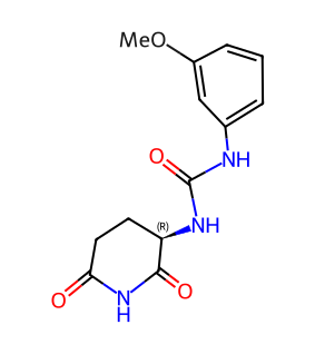 COc1cccc(NC(=O)N[C@@H]2CCC(=O)NC2=O)c1